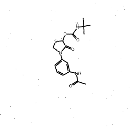 CC(=O)Nc1cccc(N2CSC(OC(=O)NC(C)(C)C)C2=O)c1